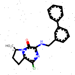 O=C(O)[C@@H]1CCc2c(Cl)nc(NCc3cccc(-c4ccccc4)c3)c(=O)n21